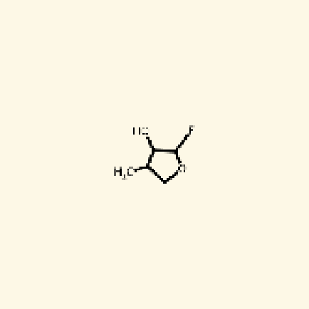 CC1COC(F)C1O